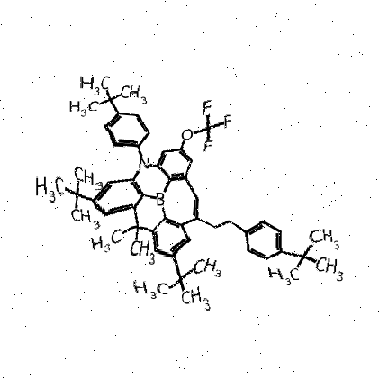 CC(C)(C)c1ccc(CCC2=Cc3cc(OC(F)(F)F)cc4c3B3c5c2cc(C(C)(C)C)cc5C(C)(C)c2cc(C(C)(C)C)cc(c23)N4c2ccc(C(C)(C)C)cc2)cc1